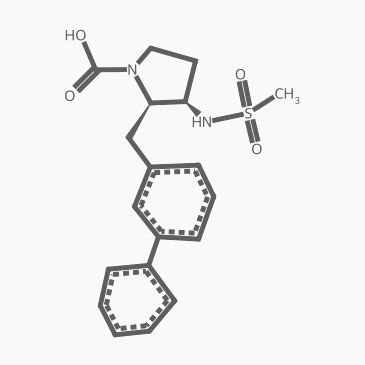 CS(=O)(=O)N[C@@H]1CCN(C(=O)O)[C@@H]1Cc1cccc(-c2ccccc2)c1